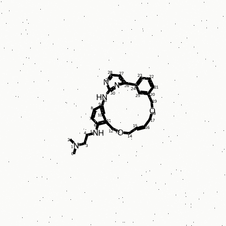 CN(C)CCNc1ccc2cc1COC/C=C/COCc1cccc(c1)-c1ccnc(n1)N2